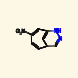 O=[N+]([O-])C1=CC2=CC(C=C1)C=NN2